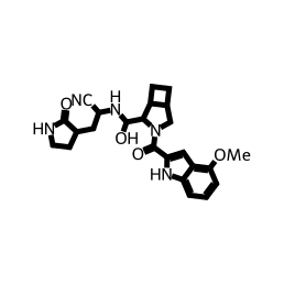 COc1cccc2[nH]c(C(=O)N3CC4CCC4C3C(O)NC(C#N)CC3CCNC3=O)cc12